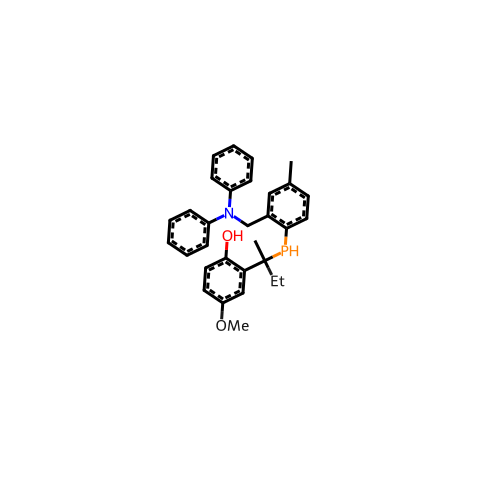 CCC(C)(Pc1ccc(C)cc1CN(c1ccccc1)c1ccccc1)c1cc(OC)ccc1O